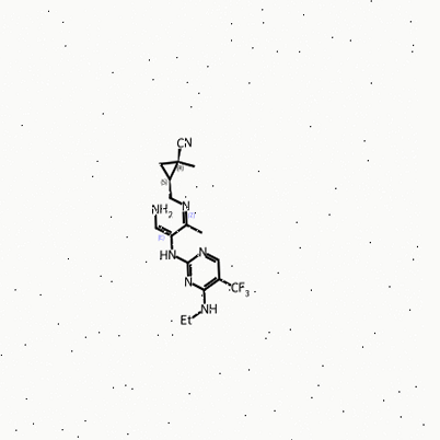 CCNc1nc(NC(=C/N)/C(C)=N\C[C@H]2C[C@@]2(C)C#N)ncc1C(F)(F)F